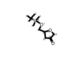 CC(C)(C)[Si](C)(C)OCC1CC(=O)CO1